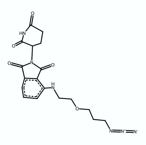 [N-]=[N+]=NCCCOCCNc1cccc2c1C(=O)N(C1CCC(=O)NC1=O)C2=O